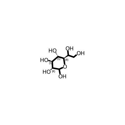 OCC(O)[C@H]1OC(O)[C@H](O)[C@@H](O)[C@@H]1O